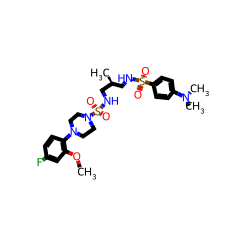 COc1cc(F)ccc1N1CCN(S(=O)(=O)NC[C@@H](C)CNS(=O)(=O)c2ccc(N(C)C)cc2)CC1